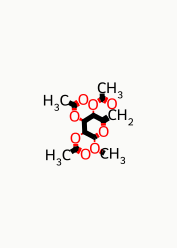 C=C1O[C@H](OC)[C@H](OC(C)=O)[C@@H](OC(C)=O)[C@@H]1OC(C)=O